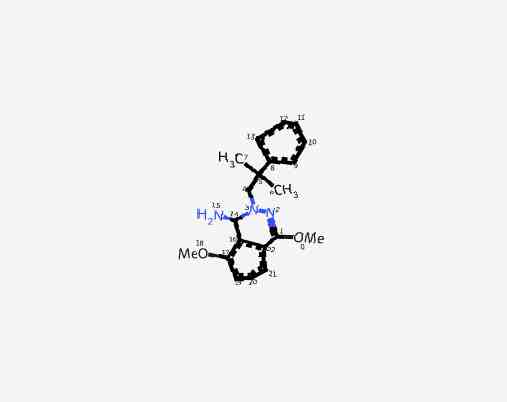 COC1=NN(CC(C)(C)c2ccccc2)C(N)c2c(OC)cccc21